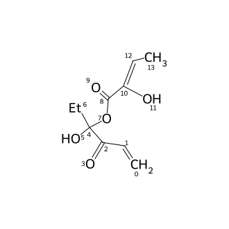 C=CC(=O)C(O)(CC)OC(=O)C(O)=CC